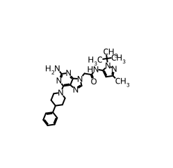 Cc1cc(NC(=O)Cn2cnc3c(N4CCC(c5ccccc5)CC4)nc(N)nc32)n(C(C)(C)C)n1